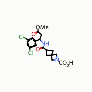 COC(=O)CC(NC(=O)C1CC2(C1)CN(C(=O)O)C2)c1cc(Cl)cc(Cl)c1